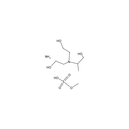 CC(CO)N(CCO)CCO.COS(=O)(=O)O.N